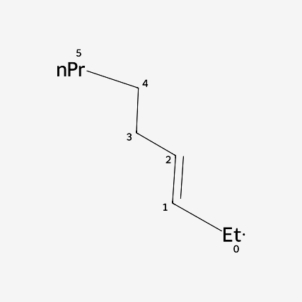 C[CH]C=CCCCCC